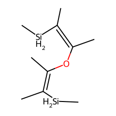 C[SiH2]C(C)=C(C)OC(C)=C(C)[SiH2]C